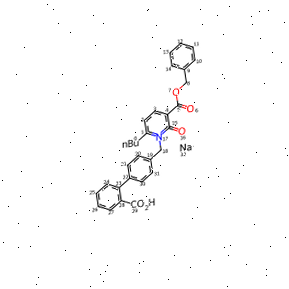 CCCCc1ccc(C(=O)OCc2ccccc2)c(=O)n1Cc1ccc(-c2ccccc2C(=O)O)cc1.[Na]